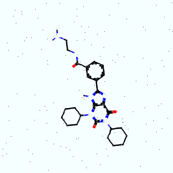 CN(C)CCNC(=O)c1cccc(-c2nc3c(=O)n(C4CCCCC4)c(=O)n(C4CCCCC4)c3n2C)c1